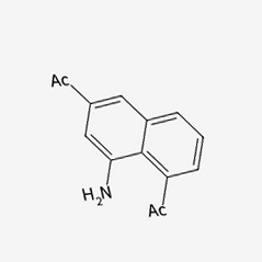 CC(=O)c1cc(N)c2c(C(C)=O)cccc2c1